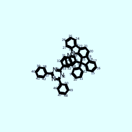 C1=NCCC=C1C1(c2ccccc2)c2ccccc2-c2ccc3c4ccccc4n(-c4ccc(-c5nc(-c6ccccc6)nc(-c6ccccc6)n5)cc4)c3c21